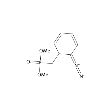 COP(=O)(CC1C=CC=CC1=[N+]=[N-])OC